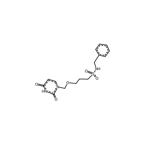 O=c1ccn(COCCCS(=O)(=O)NCc2ccccc2)c(=O)[nH]1